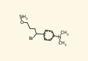 CN(C)c1ccc(C(Br)CCCO[SiH3])cc1